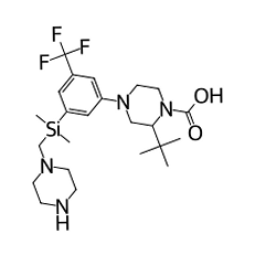 CC(C)(C)C1CN(c2cc(C(F)(F)F)cc([Si](C)(C)CN3CCNCC3)c2)CCN1C(=O)O